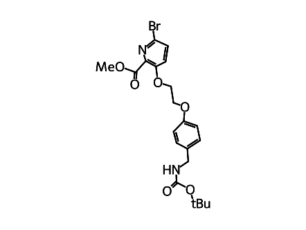 COC(=O)c1nc(Br)ccc1OCCOc1ccc(CNC(=O)OC(C)(C)C)cc1